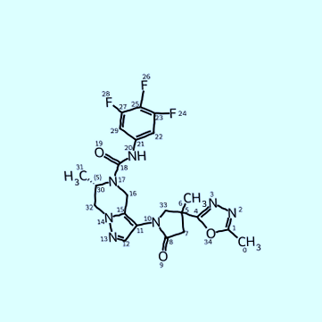 Cc1nnc(C2(C)CC(=O)N(c3cnn4c3CN(C(=O)Nc3cc(F)c(F)c(F)c3)[C@@H](C)C4)C2)o1